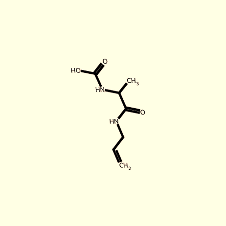 C=CCNC(=O)C(C)NC(=O)O